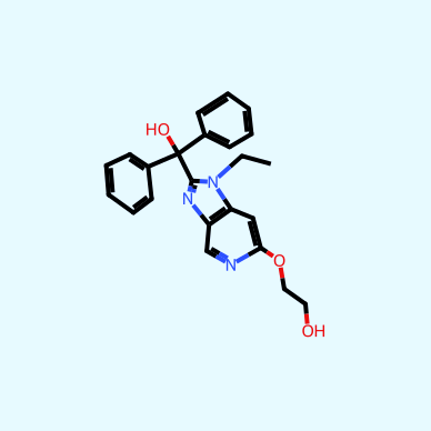 CCn1c(C(O)(c2ccccc2)c2ccccc2)nc2cnc(OCCO)cc21